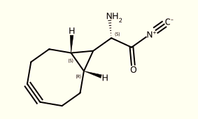 [C-]#[N+]C(=O)[C@@H](N)C1[C@H]2CCC#CCC[C@@H]12